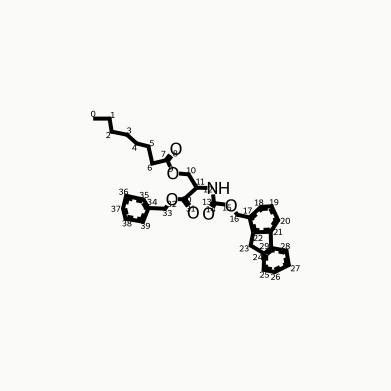 CCCCCCCC(=O)OCC(NC(=O)OCc1cccc2c1Cc1ccccc1-2)C(=O)OCc1ccccc1